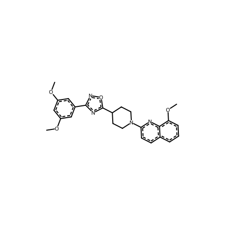 COc1cc(OC)cc(-c2noc(C3CCN(c4ccc5cccc(OC)c5n4)CC3)n2)c1